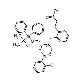 CC(C)(C)[Si](OC[C@H]1O[C@@H](c2ccccc2Cl)OC[C@H]1Cc1ccccc1CCC(=O)O)(c1ccccc1)c1ccccc1